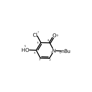 CCCCn1ccc(O)c(Cl)c1=O